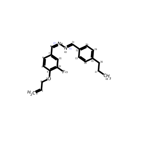 C=CCOc1ccc(/C=N\N=C\c2ccc(CCC)cc2)cc1F